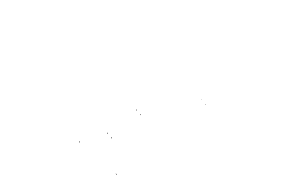 O=[N+]([O-])c1cccnc1N1CCN(CCc2cc(-c3cccc(Cl)c3)on2)CC1